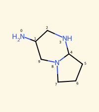 NC1CNC2CCCN2C1